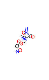 CCc1nn(CC(C)COC(=O)c2cccc(C(=O)N(C)C)c2)c2c1C(=O)NCC1(CCOCC1)C2